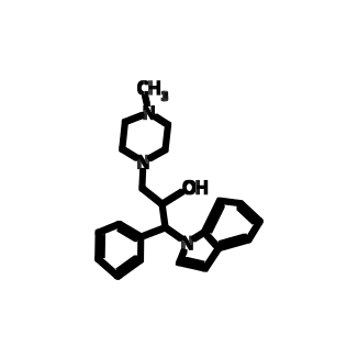 CN1CCN(CC(O)C(c2ccccc2)n2ccc3ccccc32)CC1